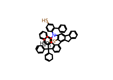 C/C1=C(\c2ccccc2C)N(c2ccc(S)cc2-c2ccccc2)c2cc3c(c(c2S)-c2cccc(C(C4=CC=CCC4)(c4cc#ccc4)c4ccccc4)c21)Cc1ccccc1-3